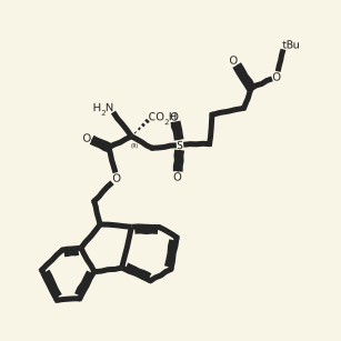 CC(C)(C)OC(=O)CCCS(=O)(=O)C[C@@](N)(C(=O)O)C(=O)OCC1c2ccccc2-c2ccccc21